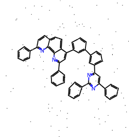 c1ccc(-c2cc(-c3cccc(-c4cccc(-c5cc(-c6ccccc6)nc6c5ccc5ccc(-c7ccccc7)nc56)c4)c3)nc(-c3ccccc3)n2)cc1